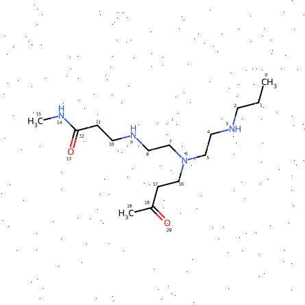 CCCNCCN(CCNCCC(=O)NC)CCC(C)=O